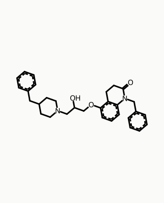 O=C1CCc2c(OCC(O)CN3CCC(Cc4ccccc4)CC3)cccc2N1Cc1ccccc1